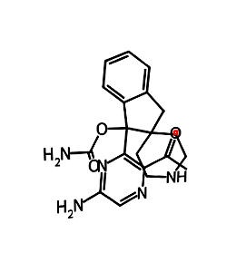 CC(=O)c1ncc(N)nc1C1(OC(N)=O)c2ccccc2CC12CCNCC2